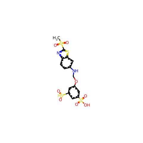 CS(=O)(=O)c1nc2ccc(NCOc3cc([SH](=O)=O)cc(S(=O)(=O)O)c3)cc2s1